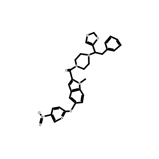 Cn1c(C(=O)N2CCN(C(Cc3ccccc3)C3=COCO3)CC2)cc2cc(Oc3ccc([N+](=O)[O-])cn3)ccc21